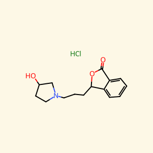 Cl.O=C1OC(CCCN2CCC(O)C2)c2ccccc21